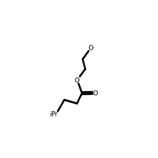 CC(C)CCC(=O)OCC[O]